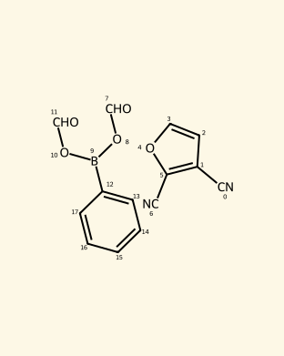 N#Cc1ccoc1C#N.O=COB(OC=O)c1ccccc1